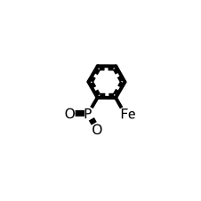 O=P(=O)c1cccc[c]1[Fe]